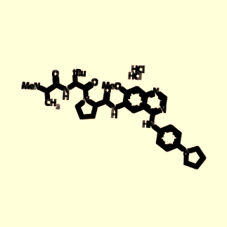 CNC(C)C(=O)NC(C(=O)N1CCCC1C(=O)Nc1cc2c(Nc3ccc(N4CCCC4)cc3)ncnc2cc1OC)C(C)(C)C.Cl.Cl